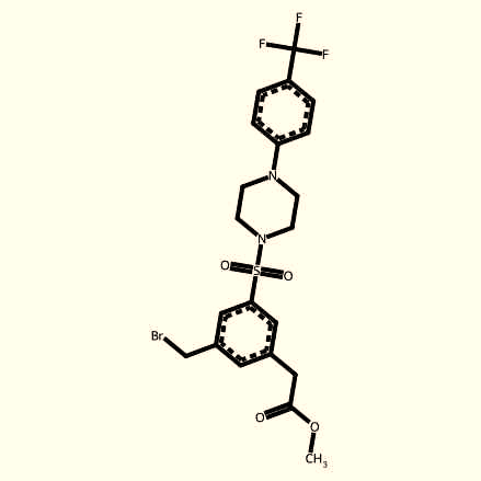 COC(=O)Cc1cc(CBr)cc(S(=O)(=O)N2CCN(c3ccc(C(F)(F)F)cc3)CC2)c1